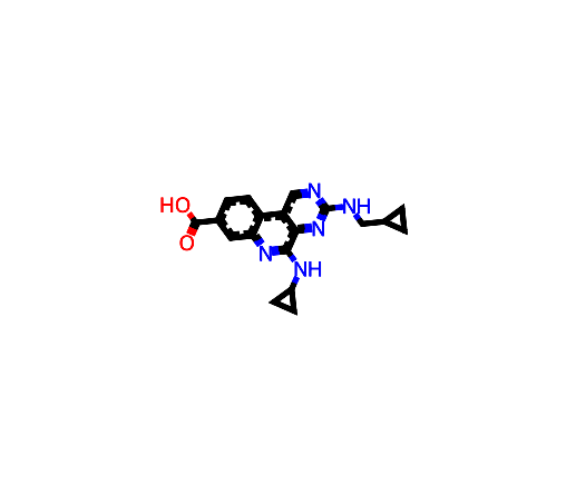 O=C(O)c1ccc2c(c1)nc(NC1CC1)c1nc(NCC3CC3)ncc12